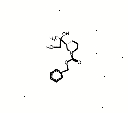 C[C@](O)(CO)[C@@H]1CCCN(C(=O)OCc2ccccc2)C1